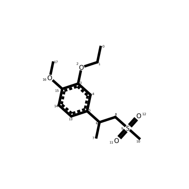 CCOc1cc(C(C)CS(C)(=O)=O)ccc1OC